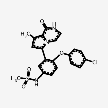 Cc1cc(-c2cc(NS(C)(=O)=O)ccc2Oc2ccc(Cl)cc2)n2cc[nH]c(=O)c12